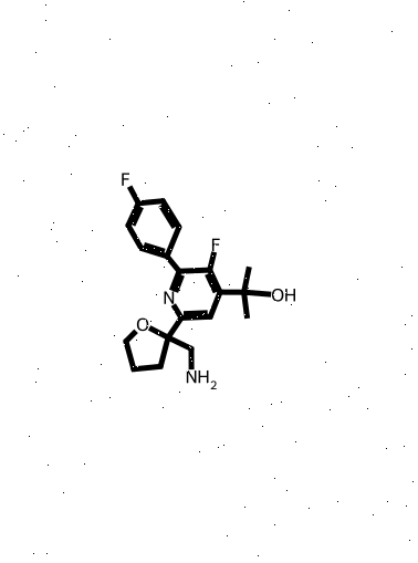 CC(C)(O)c1cc(C2(CN)CCCO2)nc(-c2ccc(F)cc2)c1F